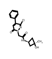 C[C@]1(O)C[C@@H](NC(=O)Cn2nc(Cl)c(-c3ccccc3)cc2=O)C1